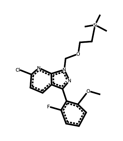 COc1cccc(F)c1-c1nn(COCC[Si](C)(C)C)c2nc(Cl)ccc12